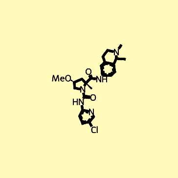 CO[C@H]1CN(C(=O)Nc2ccc(Cl)cn2)[C@@](C)(C(=O)Nc2ccc3c(c2)CCN(C)C3C)C1